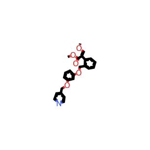 CO/C=C(\C(=O)OC)c1ccccc1COc1cccc(OCc2ccncc2)c1